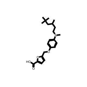 CC(CCN(C)c1ccc(OCc2ccc(C(=O)O)o2)cc1)CC(C)(C)C